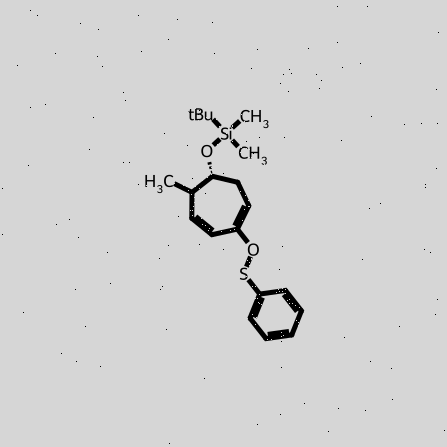 CC1C=CC(OSc2ccccc2)=CC[C@H]1O[Si](C)(C)C(C)(C)C